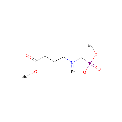 CCOP(=O)(CNCCCC(=O)OC(C)(C)C)OCC